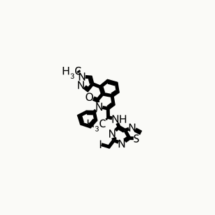 C[C@H](Nc1nc(CI)nc2scnc12)c1cc2cccc(-c3cnn(C)c3)c2c(=O)n1-c1ccccc1